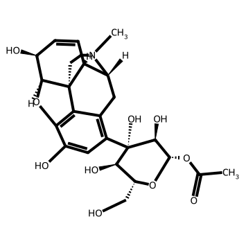 CC(=O)O[C@@H]1O[C@H](CO)[C@@H](O)[C@@](O)(c2cc(O)c3c4c2C[C@@H]2[C@@H]5C=C[C@H](O)[C@H](O3)[C@]45CCN2C)[C@H]1O